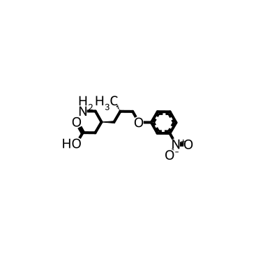 C[C@H](COc1cccc([N+](=O)[O-])c1)C[C@H](CN)CC(=O)O